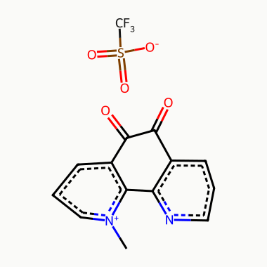 C[n+]1cccc2c1-c1ncccc1C(=O)C2=O.O=S(=O)([O-])C(F)(F)F